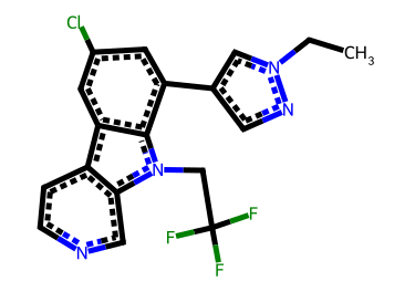 CCn1cc(-c2cc(Cl)cc3c4ccncc4n(CC(F)(F)F)c23)cn1